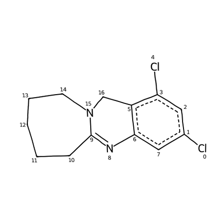 Clc1cc(Cl)c2c(c1)N=C1CCCCCN1C2